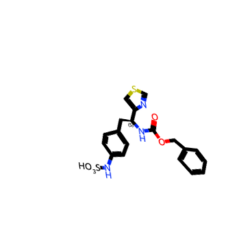 O=C(N[C@@H](Cc1ccc(NS(=O)(=O)O)cc1)c1cscn1)OCc1ccccc1